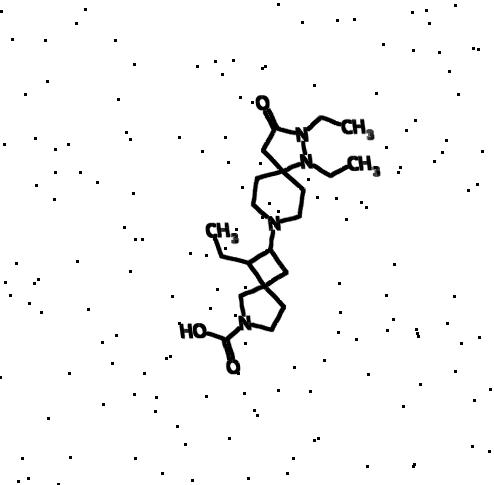 CCC1C(N2CCC3(CC2)CC(=O)N(CC)N3CC)CC12CCN(C(=O)O)C2